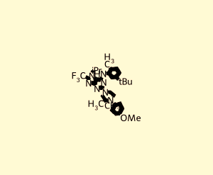 COc1ccc(N2CCN(c3nc(Nc4cc(C(C)(C)C)ccc4C)c4c(n3)nc(C(F)(F)F)n4C(C)C)CC2(C)C)cc1